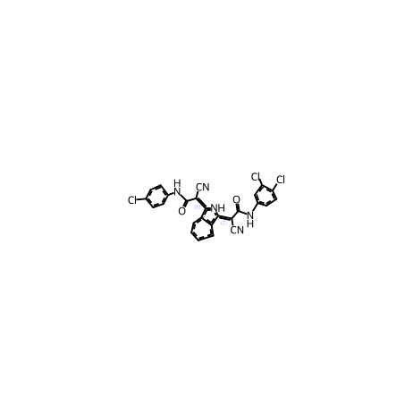 N#C/C(C(=O)Nc1ccc(Cl)c(Cl)c1)=c1/[nH]/c(=C(\C#N)C(=O)Nc2ccc(Cl)cc2)c2ccccc12